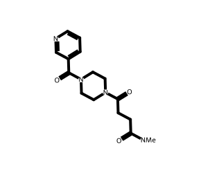 CNC(=O)CCC(=O)N1CCN(C(=O)c2cccnc2)CC1